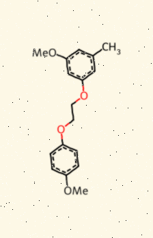 COc1ccc(OCCOc2cc(C)cc(OC)c2)cc1